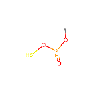 CO[PH](=O)OS